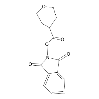 O=C(ON1C(=O)c2ccccc2C1=O)C1CCOCC1